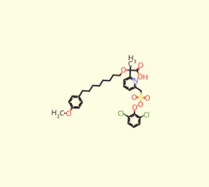 COc1ccc(CCCCCCCCOC(C)(C(=O)O)c2cccc(CS(=O)(=O)OOc3c(Cl)cccc3Cl)n2)cc1